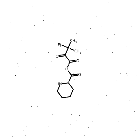 CCC(C)(C)C(=O)C(=O)OC(=O)C1CCCCN1